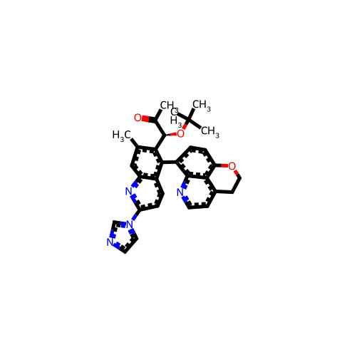 CC(=O)[C@@H](OC(C)(C)C)c1c(C)cc2nc(-n3ccnc3)ccc2c1-c1ccc2c3c(ccnc13)CCO2